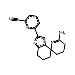 N#Cc1cccc(-c2cc3c(s2)CCCC32CCSC(N)=N2)n1